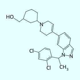 CC(c1ccc(Cl)cc1Cl)n1ncc2ccc(C3=CCN(C4CCCC(CO)C4)CC3)cc21